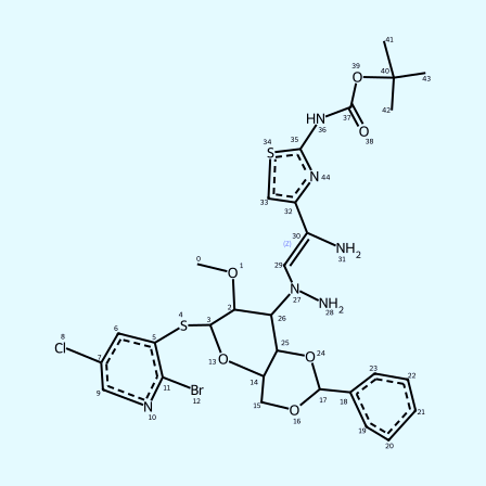 COC1C(Sc2cc(Cl)cnc2Br)OC2COC(c3ccccc3)OC2C1N(N)/C=C(\N)c1csc(NC(=O)OC(C)(C)C)n1